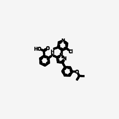 Cc1cncc(Cl)c1-n1nc(-c2cccc(OC(C)C)c2)cc1Nc1ccccc1C(=O)O